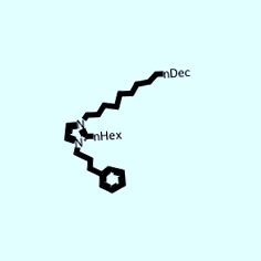 CCCCCCCCCCCCCCCCCCCn1cc[n+](CCCc2ccccc2)c1CCCCCC